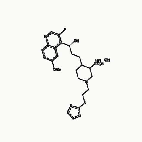 COc1ccc2ncc(F)c([C@H](O)CCC3CCN(CCSc4cccs4)CC3C(=O)O)c2c1.Cl.Cl